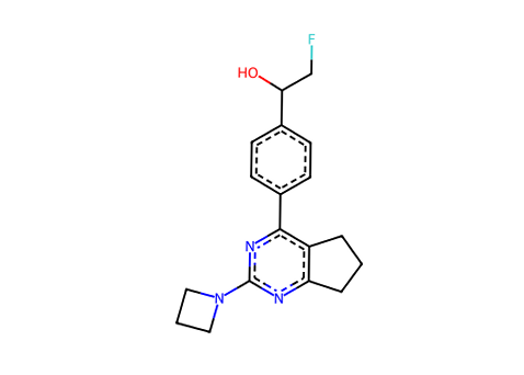 OC(CF)c1ccc(-c2nc(N3CCC3)nc3c2CCC3)cc1